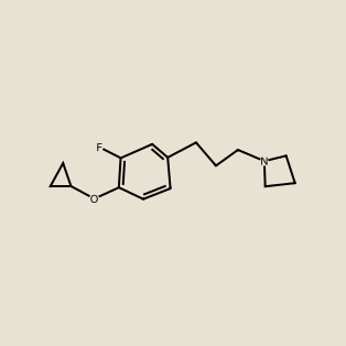 Fc1cc(CCCN2CCC2)ccc1OC1CC1